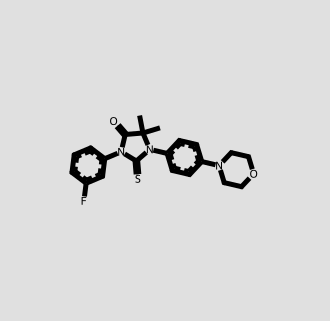 CC1(C)C(=O)N(c2cccc(F)c2)C(=S)N1c1ccc(N2CCOCC2)cc1